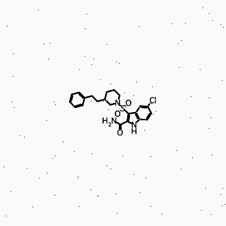 NC(=O)c1[nH]c2ccc(Cl)cc2c1S(=O)(=O)N1CCCC(CCc2ccccc2)C1